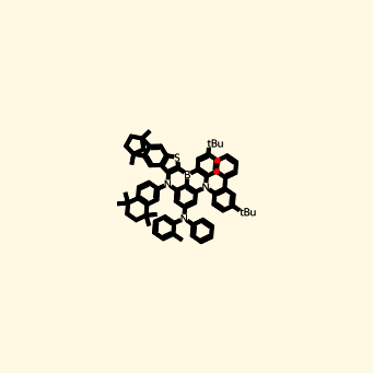 Cc1ccccc1N(c1ccccc1)c1cc2c3c(c1)N(c1ccc4c(c1)C(C)(C)CCC4(C)C)c1c(sc4cc5c(cc14)C1(C)CCC5(C)C1)B3c1cc(C(C)(C)C)ccc1N2c1ccc(C(C)(C)C)cc1C1=CC=CCC1